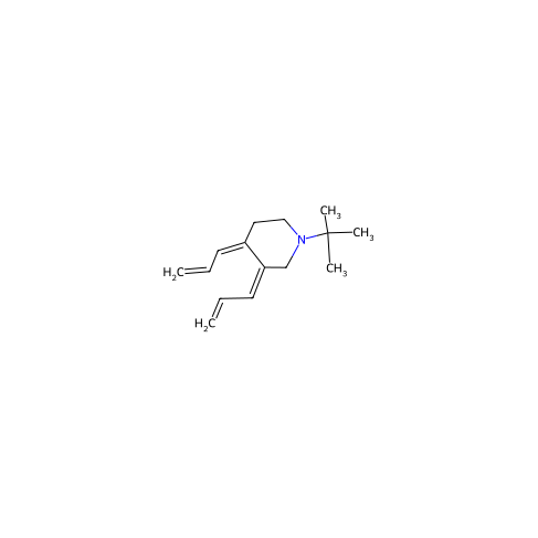 C=C/C=C1/CCN(C(C)(C)C)C/C1=C/C=C